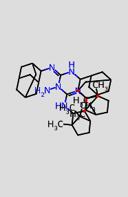 CC1(C)C2CCC1(C)C(N=C(NC1CC3CCC1(C)C3(C)C)N(N)C(=NC1C3CC4CC(C3)CC1C4)NC1C3CC4CC(C3)CC1C4)C2